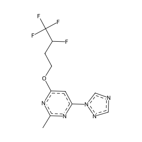 Cc1nc(OCCC(F)C(F)(F)F)cc(-n2cncn2)n1